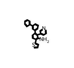 Nc1c(-c2cccs2)ccc(-c2cccc(-c3ccccc3)c2)c1-c1cccnc1